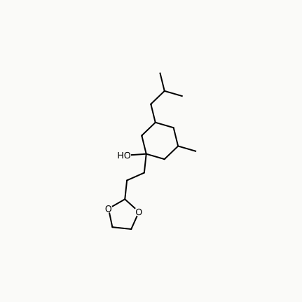 CC(C)CC1CC(C)CC(O)(CCC2OCCO2)C1